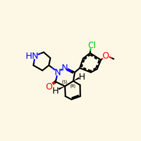 COc1ccc(C2=NN(C3CCNCC3)C(=O)[C@H]3CC=CC[C@@H]23)cc1Cl